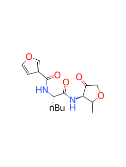 CCCC[C@H](NC(=O)c1ccoc1)C(=O)N[C@H]1C(=O)COC1C